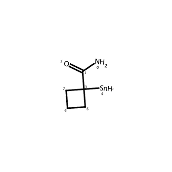 NC(=O)[C]1([SnH])CCC1